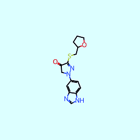 O=C1CN(c2ccc3[nH]cnc3c2)N=C1SCC1CCCO1